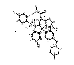 COc1cc(CN2CCNCC2)ccc1C1(N2CCC[C@@H]2OC(=O)N(C)C)C(=O)N(S(=O)(=O)c2ccc(F)cc2)c2ccc(Cl)cc21